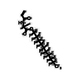 C=CC(=O)NC(C)(C)C(=O)OC(F)(F)C(F)(F)C(F)(F)C(F)(F)C(F)(F)C(F)(F)C(F)(F)C(F)(F)C(F)(F)C(F)(F)F